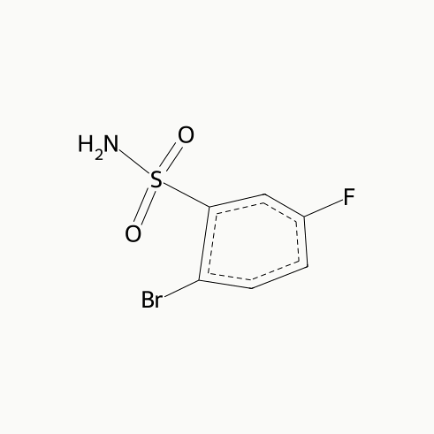 NS(=O)(=O)c1cc(F)ccc1Br